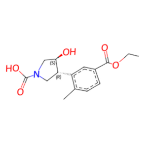 CCOC(=O)c1ccc(C)c([C@@H]2CN(C(=O)O)C[C@H]2O)c1